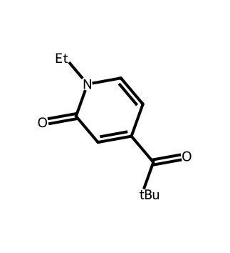 CCn1ccc(C(=O)C(C)(C)C)cc1=O